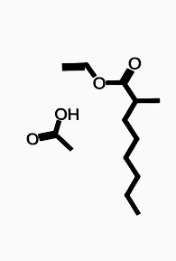 C=COC(=O)C(C)CCCCCC.CC(=O)O